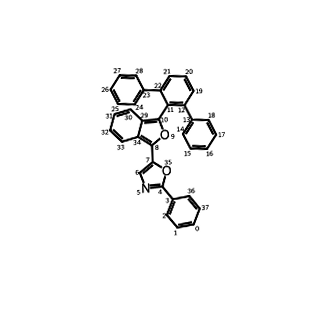 c1ccc(-c2ncc(-c3oc(-c4c(-c5ccccc5)cccc4-c4ccccc4)c4ccccc34)o2)cc1